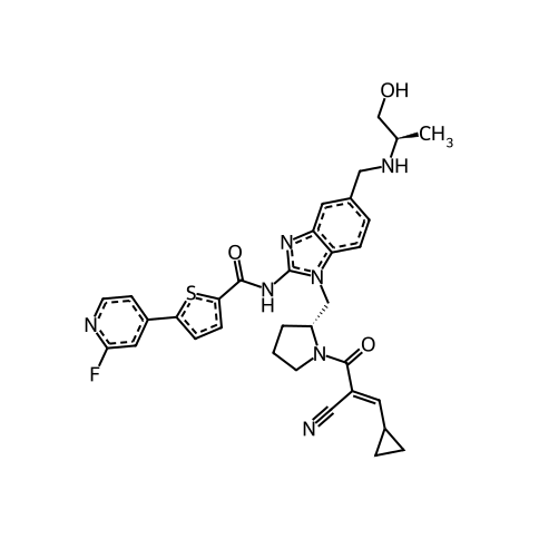 C[C@H](CO)NCc1ccc2c(c1)nc(NC(=O)c1ccc(-c3ccnc(F)c3)s1)n2C[C@H]1CCCN1C(=O)C(C#N)=CC1CC1